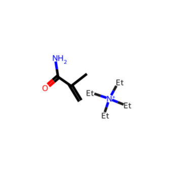 C=C(C)C(N)=O.CC[N+](CC)(CC)CC